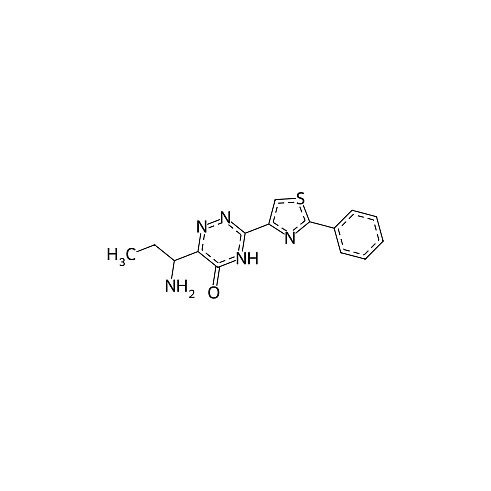 CCC(N)c1nnc(-c2csc(-c3ccccc3)n2)[nH]c1=O